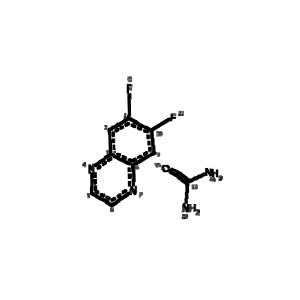 Fc1cc2nccnc2cc1F.NC(N)=O